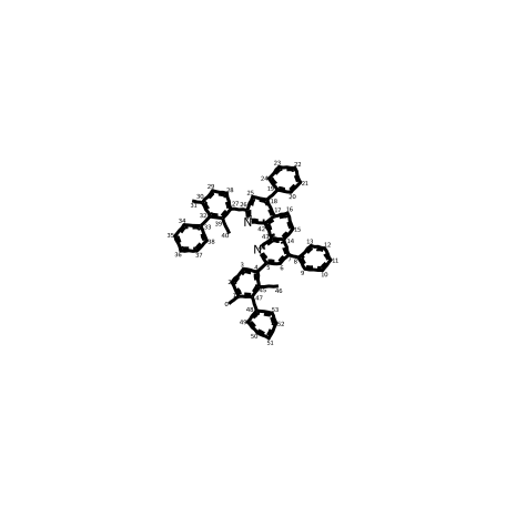 Cc1ccc(-c2cc(-c3ccccc3)c3ccc4c(-c5ccccc5)cc(-c5ccc(C)c(-c6ccccc6)c5C)nc4c3n2)c(C)c1-c1ccccc1